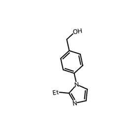 CCc1nccn1-c1ccc(CO)cc1